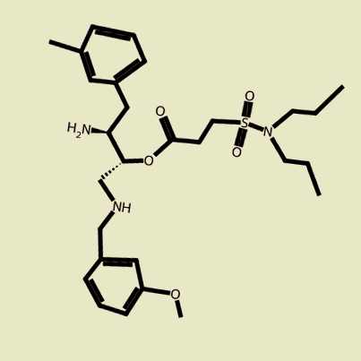 CCCN(CCC)S(=O)(=O)CCC(=O)O[C@H](CNCc1cccc(OC)c1)[C@@H](N)Cc1cccc(C)c1